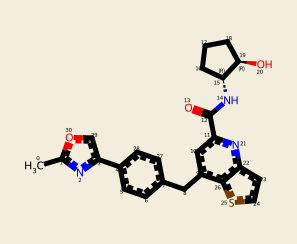 Cc1nc(-c2ccc(Cc3cc(C(=O)N[C@@H]4CCC[C@H]4O)nc4ccsc34)cc2)co1